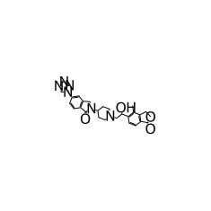 Cc1c([C@H](O)CN2CCC(N3Cc4cc(-n5cnnn5)ccc4C3=O)CC2)ccc2c1COC2=O